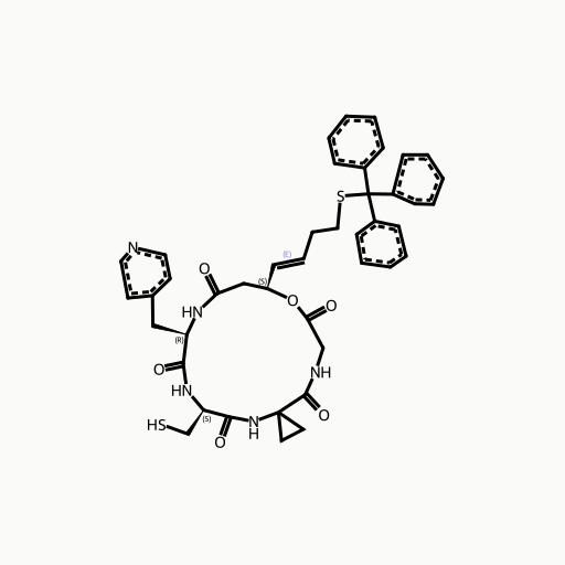 O=C1C[C@@H](/C=C/CCSC(c2ccccc2)(c2ccccc2)c2ccccc2)OC(=O)CNC(=O)C2(CC2)NC(=O)[C@@H](CS)NC(=O)[C@@H](Cc2ccncc2)N1